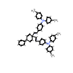 Cc1ccc(N(c2ccc(C)cc2)c2ccc(/C=C/C3(/C=C/c4ccc(N(c5ccc(C)cc5)c5ccc(C)cc5)cc4)C=CC(c4ccccc4)C=C3)cc2)cc1